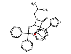 CC(C)CN1C(=O)C(C(=O)c2ccoc2)([SiH](C)C)C1SC(c1ccccc1)(c1ccccc1)c1ccccc1